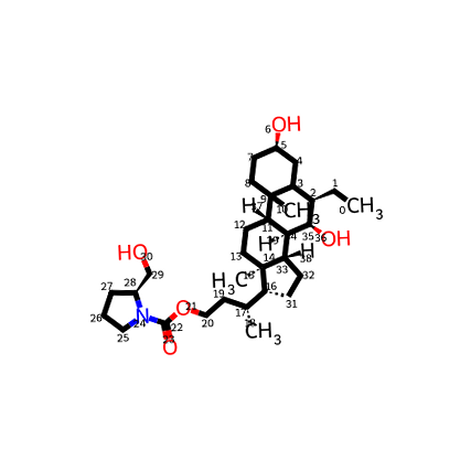 CC[C@@H]1C2C[C@H](O)CCC2(C)[C@H]2CC[C@]3(C)[C@@H]([C@H](C)CCOC(=O)N4CCC[C@H]4CO)CC[C@H]3[C@@H]2[C@@H]1O